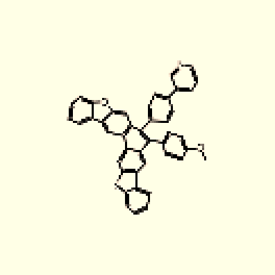 COc1ccc(-c2c(-c3ccc(-c4cccnc4)cc3)c3cc4oc5ccccc5c4cc3c3cc4sc5ccccc5c4cc23)cc1